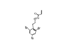 C=CC(=O)OOCCc1c(Br)cc(Br)cc1Br